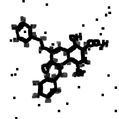 O=C(O)c1nc(Br)c2c(cc(CCc3ccccc3)c(=O)n2Cc2ccccc2)c1O